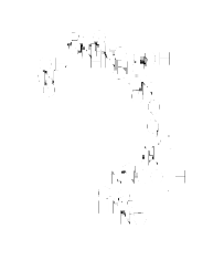 Cc1c(-c2ccc(N3CCc4cccc(C(=O)Nc5nc6ccccc6s5)c4C3)nc2C(=O)O)cnn1CC12CC3(C)CC(C)(C1)CC(OCCOCCN(CCCP(=O)(O)O)C(=O)OCc1ccc(NC(=O)[C@H](C)NC(=O)[C@@H](NC(=O)CCCCCN4C(=O)C=CC4O)C(C)C)cc1)(C3)C2